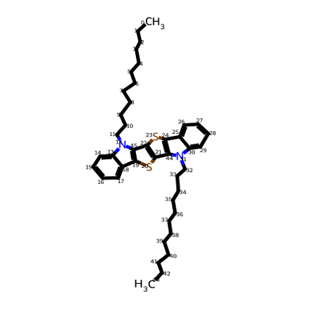 CCCCCCCCCCCCn1c2ccccc2c2sc3c(sc4c5ccccc5n(CCCCCCCCCCCC)c43)c21